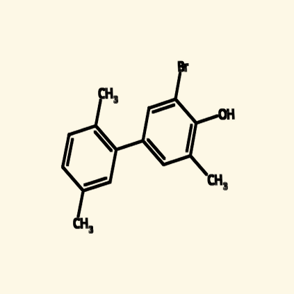 Cc1ccc(C)c(-c2cc(C)c(O)c(Br)c2)c1